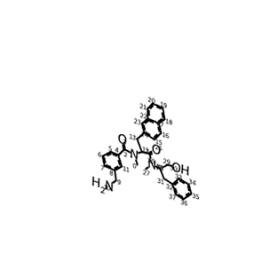 CN(C(=O)c1cccc(CN)c1)C(Cc1ccc2ccccc2c1)C(=O)N(C)[C@@H](CO)Cc1ccccc1